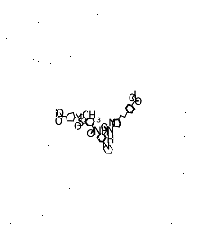 CCN(C1CCC(C(=O)OI)CC1)[S+]([O-])c1cccc(C(=O)Nc2ccc(N3CCCCC3)cc2C(=O)Nc2ccc(CCc3ccc(C(=O)OI)cc3)cn2)c1